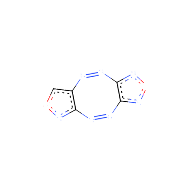 c1onc2c1/N=N\c1nonc1/N=N\2